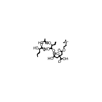 CC(=O)O.CCC(O)C(=O)O.CCCC(O)C(=O)[O-].C[N+](C)(C)CCOC(=O)CC(O)(CC(=O)O)C(=O)O